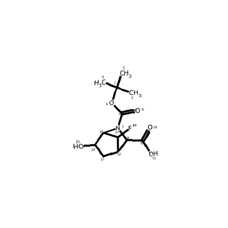 CC(C)(C)OC(=O)N1C(C(=O)O)C2CC(O)C1C2F